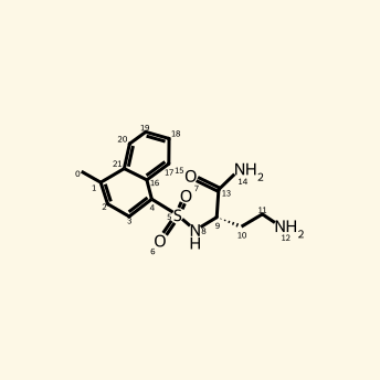 Cc1ccc(S(=O)(=O)N[C@@H](CCN)C(N)=O)c2ccccc12